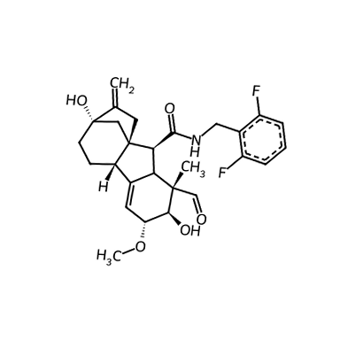 C=C1C[C@]23C[C@@]1(O)CC[C@H]2C1=C[C@@H](OC)[C@H](O)[C@@](C)(C=O)C1[C@@H]3C(=O)NCc1c(F)cccc1F